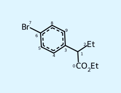 CCOC(=O)C(CC)c1ccc(Br)cc1